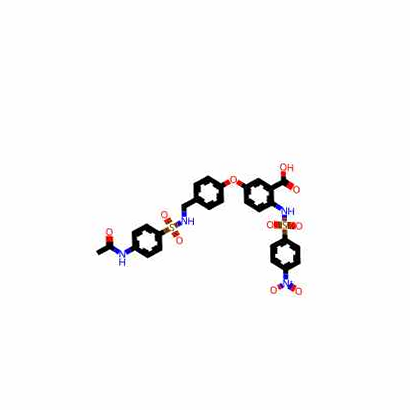 CC(=O)Nc1ccc(S(=O)(=O)NCc2ccc(Oc3ccc(NS(=O)(=O)c4ccc([N+](=O)[O-])cc4)c(C(=O)O)c3)cc2)cc1